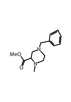 COC(=O)C1CN(Cc2ccccc2)CCN1C